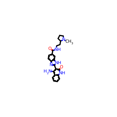 CN1CCCC1CCNC(=O)c1ccc2nc(-c3c(N)c4ccccc4[nH]c3=O)[nH]c2c1